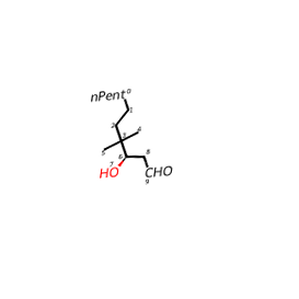 CCCCCCCC(C)(C)[C@H](O)CC=O